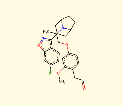 COc1cc(OCC(C)N2C3CCC2CC(c2noc4cc(F)ccc24)C3)ccc1CC=O